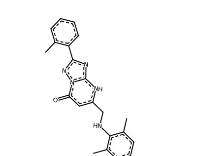 Cc1ccccc1-c1nc2[nH]c(CNc3c(C)cccc3C)cc(=O)n2n1